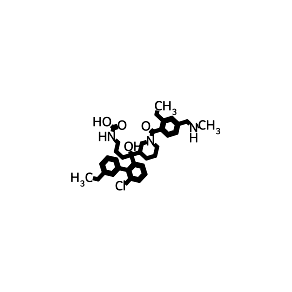 CCc1cccc(-c2c(Cl)cccc2C(O)(CCCNC(=O)O)C2CCCN(C(=O)c3ccc(CNC)cc3CC)C2)c1